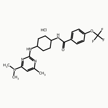 Cc1cc(N(C)C)nc(NC2CCC(NC(=O)c3ccc(OC(F)(F)F)cc3)CC2)n1.Cl